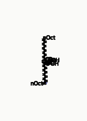 CCCCCCCCC=CCCCCCCCC(=O)OC(=O)CCCCCCC/C=C\CCCCCCCC.O=P(O)(O)O